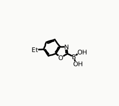 CCc1ccc2nc(B(O)O)oc2c1